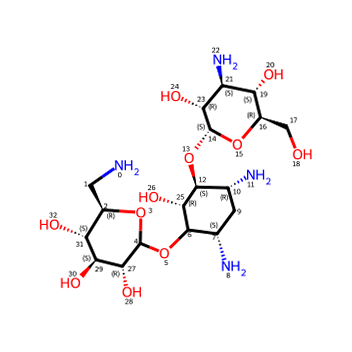 NC[C@H]1OC(OC2[C@@H](N)C[C@@H](N)[C@H](O[C@H]3O[C@H](CO)[C@@H](O)[C@H](N)[C@H]3O)[C@H]2O)[C@H](O)[C@@H](O)[C@@H]1O